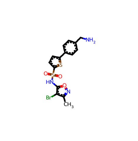 Cc1noc(NS(=O)(=O)c2ccc(-c3ccc(CN)cc3)s2)c1Br